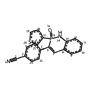 N#Cc1ccc(C2=Cc3ccccc3NP2(=O)c2ccsc2)cc1